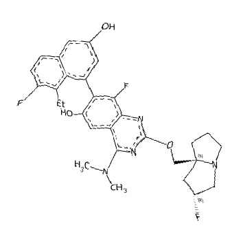 CCc1c(F)ccc2cc(O)cc(-c3c(O)cc4c(N(C)C)nc(OC[C@@]56CCCN5C[C@H](F)C6)nc4c3F)c12